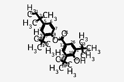 CCC(C)(C)c1ccc(OC(=O)c2cc(C(C)(C)C)c(O)c(C(C)(C)C)c2)c(C(C)(C)C)c1